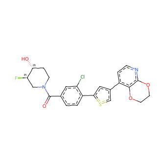 O=C(c1ccc(-c2cc(-c3ccnc4c3OCCO4)cs2)c(Cl)c1)N1CC[C@@H](O)[C@H](F)C1